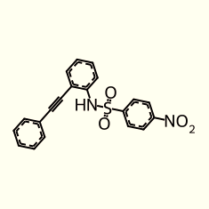 O=[N+]([O-])c1ccc(S(=O)(=O)Nc2ccccc2C#Cc2ccccc2)cc1